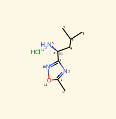 Cc1nc([C@@H](N)CC(C)C)no1.Cl